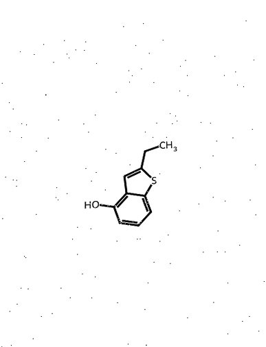 CCc1cc2c(O)cccc2s1